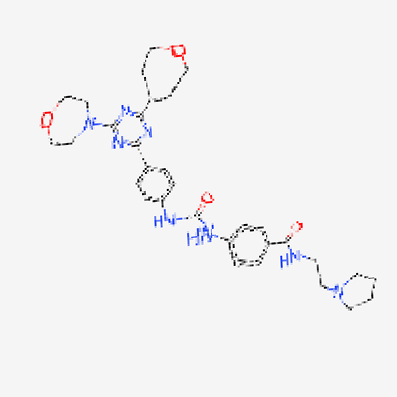 O=C(Nc1ccc(C(=O)NCCN2CCCC2)cc1)Nc1ccc(-c2nc(C3CCOCC3)nc(N3CCOCC3)n2)cc1